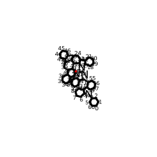 c1ccc(-n2c3ccccc3c3c(-c4nc(-n5c6ccccc6c6cc7c8c(c65)-c5ccc6ccccc6c5C(CC8)c5ccccc5-7)nc5ccccc45)cccc32)cc1